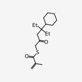 C=C(C)C(=O)SCC(=O)CC(CC)(CC)C1CCCCC1